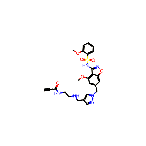 C#CC(=O)NCCNCc1cnn(Cc2cc(OC)c3c(NS(=O)(=O)c4ccccc4OC)noc3c2)c1